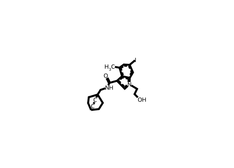 Cc1cc(I)cc2c1c(C(=O)NCC13CCC(CC1)CC3)cn2CCO